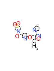 Cc1onc(-c2ccccn2)c1COc1ccc(C(=O)N2CCS(=O)(=O)CC2)cn1